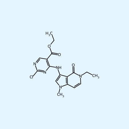 CCOC(=O)c1cnc(Cl)nc1Nc1cn(C)c2ccn(CC)c(=O)c12